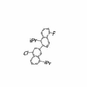 CC(C)c1cccc2c(Cl)cc(-c3ccc4c(F)cccc4c3C(C)C)cc12